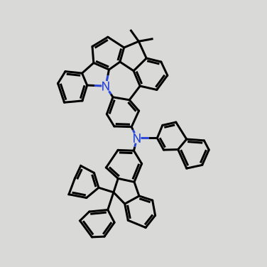 CC1(C)c2cccc3c2-c2c1ccc1c4ccccc4n(c21)-c1ccc(N(c2ccc4c(c2)-c2ccccc2C4(c2ccccc2)c2ccccc2)c2ccc4ccccc4c2)cc1-3